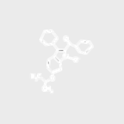 CC(C)Oc1ccc2c(-c3ccccc3)c(C(=O)c3ccccc3)[s+]([O-])c2c1